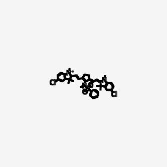 CN1/C(=C/C=C2\CCC(/C=C/C3=[N+](C)c4ccc(Cl)cc4C3(C)C)=C2N(C)S(=O)(=O)c2ccccc2)C(C)(C)c2cc(Cl)ccc21